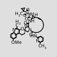 COc1ccc2nc(C)c3c(c2c1)CC[C@]1(C[C@H]2C(=O)N[C@]4(C(=O)NS(=O)(=O)C5(C)CC5)C[C@H]4/C=C\CCCCC[C@H](Nc4cccc(C)n4)C(=O)N2C1)O3